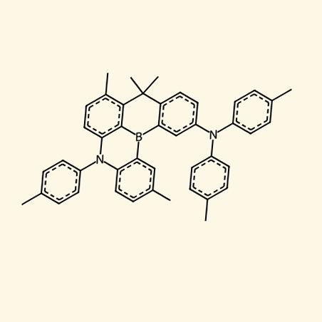 Cc1ccc(N(c2ccc(C)cc2)c2ccc3c(c2)B2c4cc(C)ccc4N(c4ccc(C)cc4)c4ccc(C)c(c42)C3(C)C)cc1